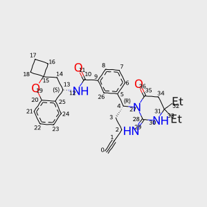 C#CCC[C@H](c1cccc(C(=O)N[C@H]2CC3(CCC3)Oc3ccccc32)c1)N1C(=N)NC(CC)(CC)CC1=O